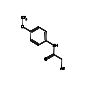 CC(=O)CC(=O)Nc1ccc(OC(F)(F)F)cc1